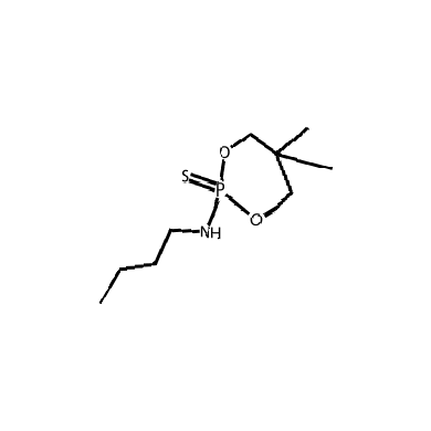 CCCCNP1(=S)OCC(C)(C)CO1